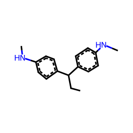 CCC(c1ccc(NC)cc1)c1ccc(NC)cc1